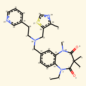 CCN1C(=O)C(C)(C)C(=O)N(C)c2cc(CN(CCc3cccnc3)Cc3scnc3C)ccc21